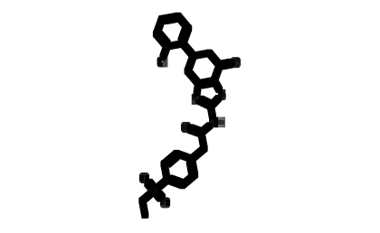 CCS(=O)(=O)c1ccc(CC(=O)Nc2nc3c(s2)C(=O)CC(c2ccccc2Cl)C3)cc1